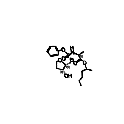 CCCCC(C)OC(=O)[C@H](C)NP(=O)(OC[C@H]1OCC[C@H]1O)Oc1ccccc1